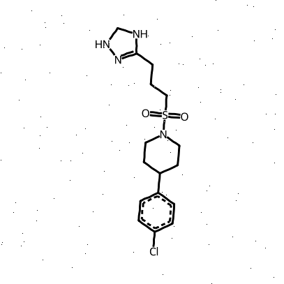 O=S(=O)(CCCC1=NNCN1)N1CCC(c2ccc(Cl)cc2)CC1